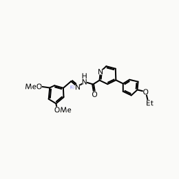 CCOc1ccc(-c2ccnc(C(=O)N/N=C/c3cc(OC)cc(OC)c3)c2)cc1